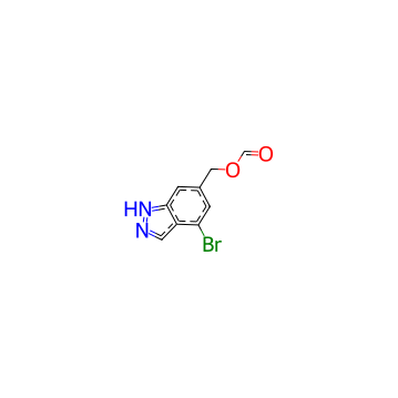 O=COCc1cc(Br)c2cn[nH]c2c1